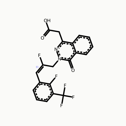 O=C(O)Cc1nn(C/C(F)=C\c2cccc(C(F)(F)F)c2F)c(=O)c2ccccc12